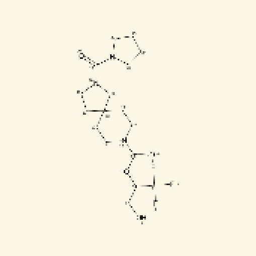 O=C(OC(CO)C(F)(F)F)N1CCC2(CC1)CCN(C(=O)N1CCCC1)C2